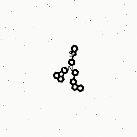 c1cc(-c2ccc3ccc4ccccc4c3c2)cc(N(c2ccc(-c3cc4ccccc4s3)cc2)c2ccc3c(c2)-c2cccc4cccc-3c24)c1